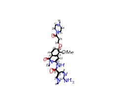 C=N/C=C(\C=N/CN)C(=O)Nc1cc2c(OC)c(OCCC(=O)N3CCN(C)CC3)ccc2c(=O)n1C